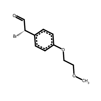 COCCOc1ccc([C@H](Br)C=O)cc1